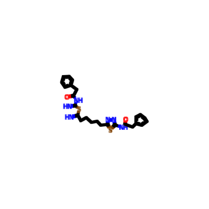 N=C(CCCCCc1nnc(NC(=O)Cc2ccccc2)s1)SC(=N)NC(=O)Cc1ccccc1